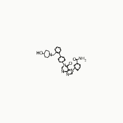 NC(=O)c1cccc(-n2cnc3ncn(-c4ccc(-c5ccccc5CN5CCC(O)CC5)cc4)c(=O)c32)c1